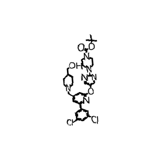 CC(C)(C)OC(=O)N1CCN(c2ncc(Oc3cc(CN4CCC(CO)CC4)cc(-c4cc(Cl)cc(Cl)c4)n3)cn2)CC1